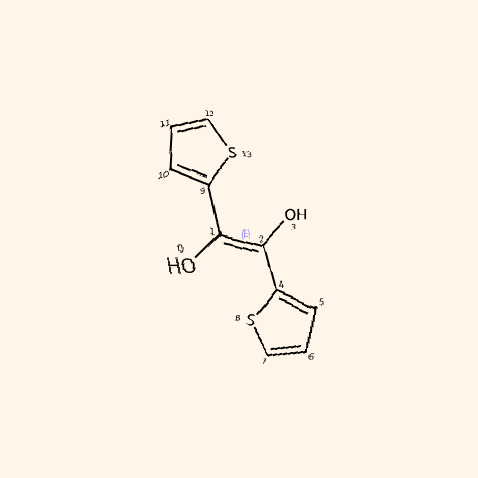 O/C(=C(/O)c1cccs1)c1cccs1